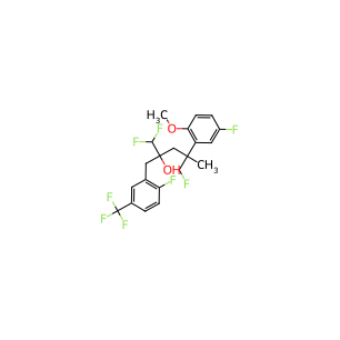 COc1ccc(F)cc1C(C)(CF)CC(O)(Cc1cc(C(F)(F)F)ccc1F)C(F)F